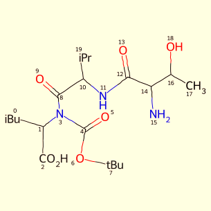 CCC(C)C(C(=O)O)N(C(=O)OC(C)(C)C)C(=O)C(NC(=O)C(N)C(C)O)C(C)C